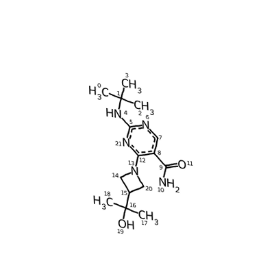 CC(C)(C)Nc1ncc(C(N)=O)c(N2CC(C(C)(C)O)C2)n1